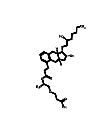 CCCCC[C@H](O)CC[C@@H]1[C@H]2Cc3cccc(OCC(=O)OC(C)COCCC(=O)O)c3C[C@H]2C[C@H]1O